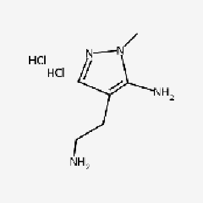 Cl.Cl.Cn1ncc(CCN)c1N